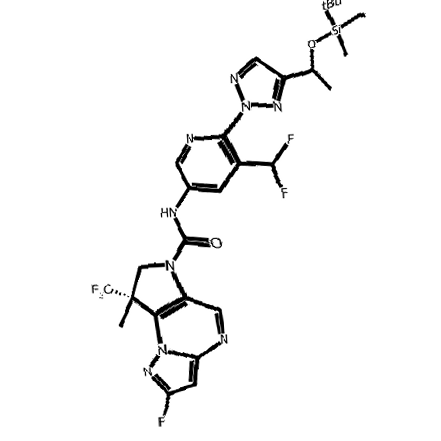 CC(O[Si](C)(C)C(C)(C)C)c1cnn(-c2ncc(NC(=O)N3C[C@@](C)(C(F)(F)F)c4c3cnc3cc(F)nn43)cc2C(F)F)n1